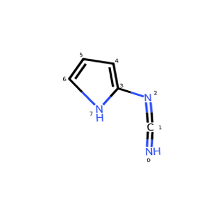 N=C=Nc1ccc[nH]1